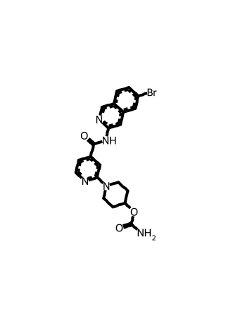 NC(=O)OC1CCN(c2cc(C(=O)Nc3cc4cc(Br)ccc4cn3)ccn2)CC1